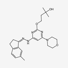 Cc1ccc2c(c1)/C(=N\Nc1cc(N3CCOCC3)nc(OCCC(C)(C)O)n1)CC2